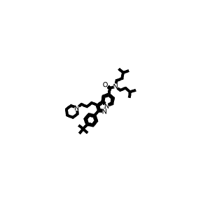 CC(C)CCN(CCC(C)C)C(=O)c1ccn2nc(-c3ccc(C(C)(C)C)cc3)c(CCCN3CCCCC3)c2c1